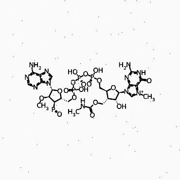 CNC(=O)OC[C@H]1[C@@H](O)[C@H](n2c[n+](C)c3c(=O)[nH]c(N)nc32)O[C@@H]1COP(=O)(O)OP(=O)(O)OP(=O)(O)OC[C@H]1O[C@@H](n2cnc3c(N)ncnc32)[C@H](OC)[C@@H]1P=O